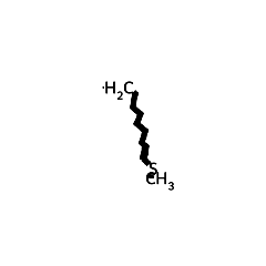 [CH2]CCCCCCC=CSC